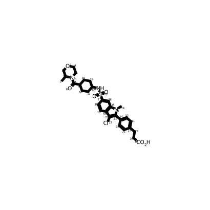 CC1COCCN1C(=O)C1CCC(NS(=O)(=O)c2ccc3c(Cl)c(-c4ccc(CCC(=O)O)cc4)n(C)c3c2)CC1